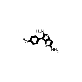 COc1ccc(-c2c(N)sc3cc(N)sc23)cc1